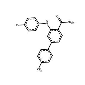 COC(=O)c1ccc(-c2ccc(C(F)(F)F)cc2)cc1Nc1ccc(F)cc1